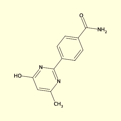 Cc1cc(O)nc(-c2ccc(C(N)=O)cc2)n1